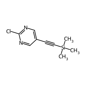 C[Si](C)(C)C#Cc1cnc(Cl)nc1